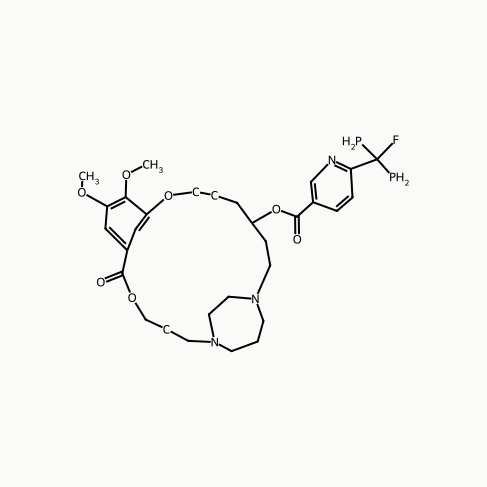 COc1cc2cc(c1OC)OCCCC(OC(=O)c1ccc(C(F)(P)P)nc1)CCN1CCCN(CCCOC2=O)CC1